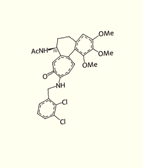 COc1cc2c(c(OC)c1OC)-c1ccc(NCc3cccc(Cl)c3Cl)c(=O)cc1[C@@H](NC(C)=O)CC2